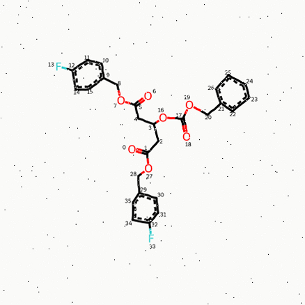 O=C(CC(CC(=O)OCc1ccc(F)cc1)OC(=O)OCc1ccccc1)OCc1ccc(F)cc1